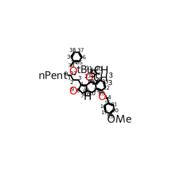 CCCCCC(CCC1=C2[C@H](CC1=O)Cc1c(OCc3ccc(OC)cc3)cccc1[C@H]2O[Si](C)(C)C(C)(C)C)OCc1ccccc1